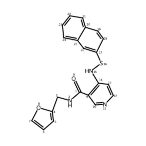 O=C(NCc1ccco1)c1cnccc1NSc1ccc2ccccc2c1